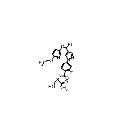 CCC(Oc1ccc(OCC(F)(F)F)nc1)c1cnn(-c2ccc(C(=O)N[C@@H](CO)C(N)=O)c(F)c2)c1